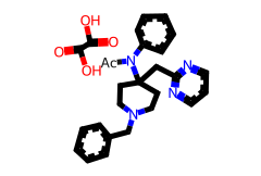 CC(=O)N(c1ccccc1)C1(Cc2ncccn2)CCN(Cc2ccccc2)CC1.O=C(O)C(=O)O